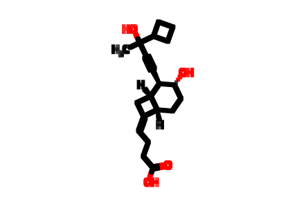 CC(O)(C#C[C@@H]1[C@H]2C/C(=C/CCC(=O)O)[C@H]2CC[C@H]1O)C1CCC1